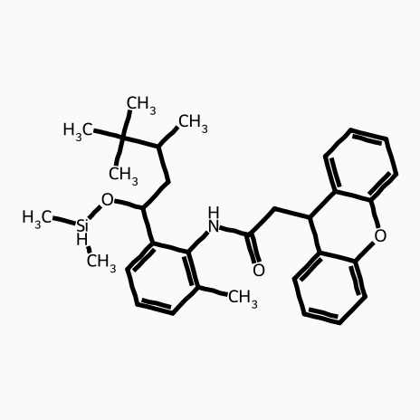 Cc1cccc(C(CC(C)C(C)(C)C)O[SiH](C)C)c1NC(=O)CC1c2ccccc2Oc2ccccc21